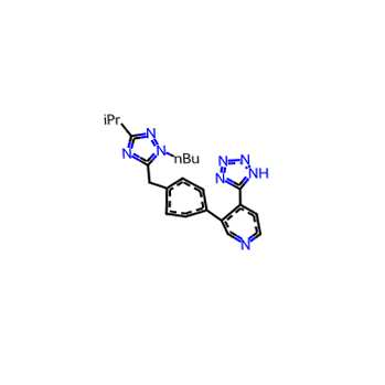 CCCCn1nc(C(C)C)nc1Cc1ccc(-c2cnccc2-c2nnn[nH]2)cc1